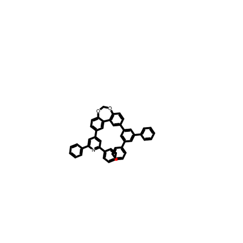 c1ccc(-c2cc(-c3ccccc3)cc(-c3ccc4c(c3)-c3cc(-c5cc(-c6ccccc6)nc(-c6ccccc6)c5)ccc3OCO4)c2)cc1